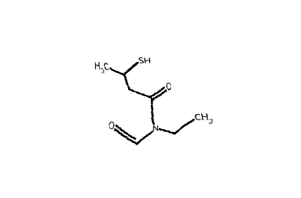 CCN(C=O)C(=O)CC(C)S